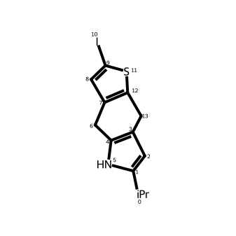 CC(C)c1cc2c([nH]1)Cc1cc(I)sc1C2